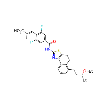 CCOC(CC)CCc1cccc2c1CCc1sc(NC(=O)c3cc(F)c(C=C(C)C(=O)O)c(F)c3)nc1-2